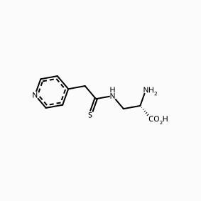 N[C@@H](CNC(=S)Cc1ccncc1)C(=O)O